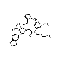 CCCCN(C(=O)CN1C[C@H](c2ccc3c(c2)CCO3)[C@@H](C(=O)O)[C@@H]1CCc1cccn1C)c1ccc[n+](C)c1